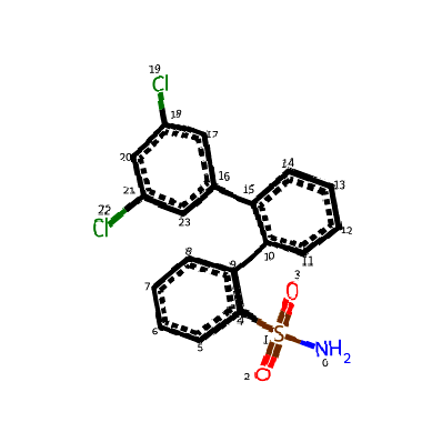 NS(=O)(=O)c1ccccc1-c1ccccc1-c1cc(Cl)cc(Cl)c1